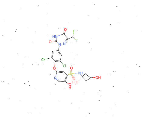 B[C@]1(NS(=O)(=O)c2cc(Oc3c(Cl)cc(-n4nc(C(F)F)c(=O)[nH]c4=O)cc3Cl)ncc2O)C[C@@H](O)C1